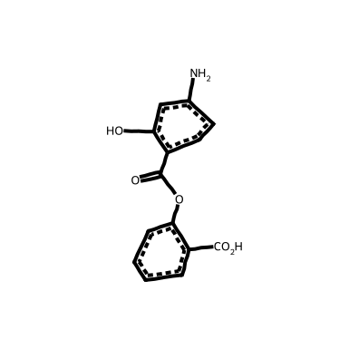 Nc1ccc(C(=O)Oc2ccccc2C(=O)O)c(O)c1